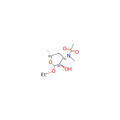 CCOC1O[C@H](C)C[C@H](N(C)S(C)(=O)=O)[C@H]1O